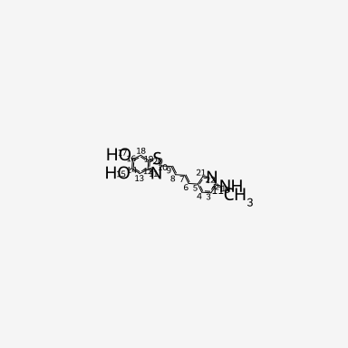 [11CH3]Nc1ccc(/C=C/C=C/c2nc3cc(O)c(O)cc3s2)cn1